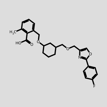 Cc1cccc(COC2CCCC(COCc3coc(-c4ccc(F)cc4)n3)C2)c1C(=O)O